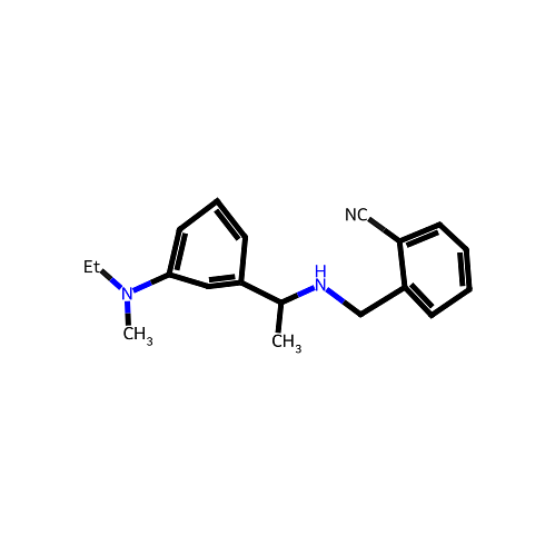 CCN(C)c1cccc(C(C)NCc2ccccc2C#N)c1